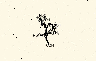 CCOP(O)CN(CC(=O)O)Cc1ccn(-c2cc(C#Cc3cc(OCCOC)c(C#CCCCCC(=O)O)cc3OCCOC)cc(-n3ccc(CN(CC(=O)O)CP(=O)(O)OCC)n3)n2)n1